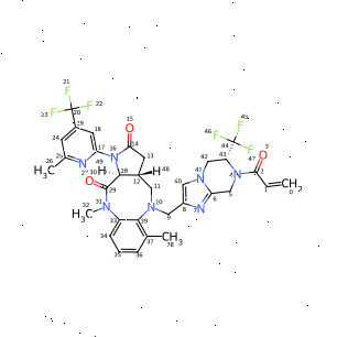 C=CC(=O)N1Cc2nc(CN3C[C@H]4CC(=O)N(c5cc(C(F)(F)F)cc(C)n5)[C@@H]4C(=O)N(C)c4cccc(C)c43)cn2C[C@@H]1C(F)(F)F